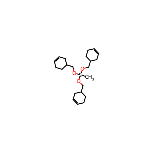 C[Si](OCC1CC=CCC1)(OCC1CC=CCC1)OCC1CC=CCC1